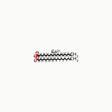 CCCCCCCCCCCCCCCCCCCCC(=O)[O-].CCCCCCCCCCCCCCCCCCCCC(=O)[O-].[Ca+2]